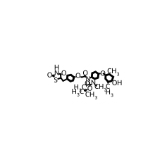 Cc1cc(Oc2ccc(NC(=O)COc3ccc(CC4SC(=O)NC4=O)cc3)c(N(C)C(=O)OC(C)(C)C)c2)c(C)cc1O